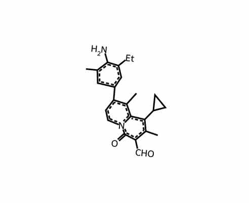 CCc1cc(-c2ccn3c(=O)c(C=O)c(C)c(C4CC4)c3c2C)cc(C)c1N